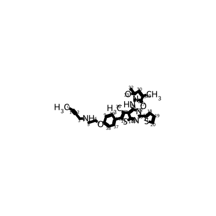 CC#CCNCCOc1ccc(-c2sc3nc(-c4cccs4)nc(NN4C(=O)C(C)=CC45CO5)c3c2C)cc1